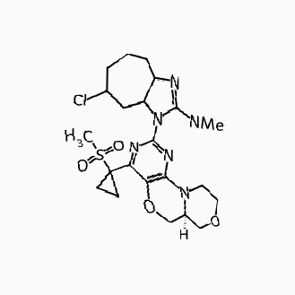 CNC1=NC2CCCC(Cl)CC2N1c1nc2c(c(C3(S(C)(=O)=O)CC3)n1)OC[C@@H]1COCCN21